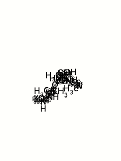 Cc1cc(N(C)CCOCCC(=O)N[C@H](C(=O)N2C[C@H](O)C[C@H]2C(=O)NCc2ccc(-c3scnc3C)cc2)C(C)(C)C)nc(Nc2ccc(NC(=O)Cc3ccccc3)cc2)n1